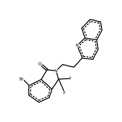 O=C1c2c(Br)cccc2C(F)(F)N1CCc1ccc2ccccc2n1